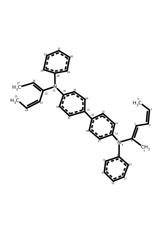 C/C=C\C=C(/C)N(c1ccccc1)c1ccc(-c2ccc(N(C(/C=C\C)=C/C)c3ccccc3)cc2)cc1